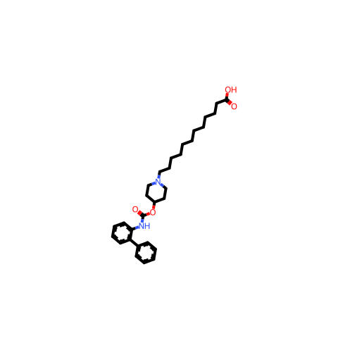 O=C(O)CCCCCCCCCCCN1CCC(OC(=O)Nc2ccccc2-c2ccccc2)CC1